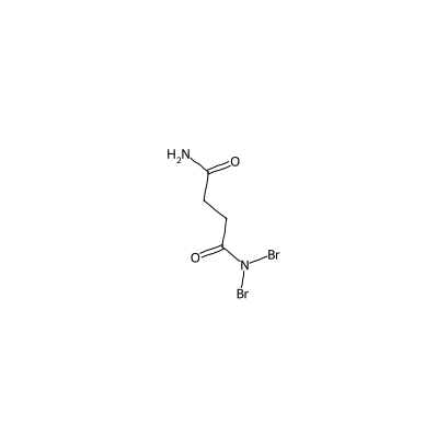 NC(=O)CCC(=O)N(Br)Br